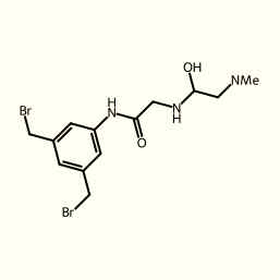 CNCC(O)NCC(=O)Nc1cc(CBr)cc(CBr)c1